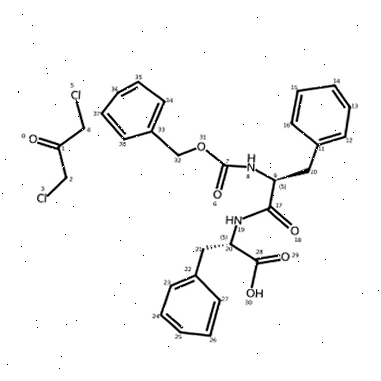 O=C(CCl)CCl.O=C(N[C@@H](Cc1ccccc1)C(=O)N[C@@H](Cc1ccccc1)C(=O)O)OCc1ccccc1